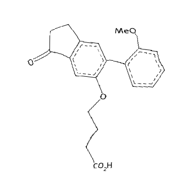 COc1ccccc1-c1cc2c(cc1OCCCC(=O)O)C(=O)CC2